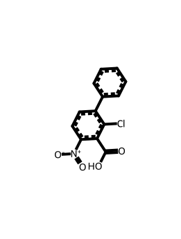 O=C(O)c1c([N+](=O)[O-])ccc(-c2ccccc2)c1Cl